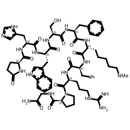 CNCCCCC[C@@H](NC(=O)[C@H](Cc1ccccc1)NC(=O)[C@H](CO)NC(=O)[C@H](Cc1c[nH]c2ccccc12)NC(=O)[C@H](Cc1cnc[nH]1)NC(=O)[C@@H]1CCC(=O)N1)C(=O)N[C@@H](CC(C)C)C(=O)N[C@@H](CCCNC(=N)N)C(=O)N1CCC[C@H]1C(=O)NCC(N)=O